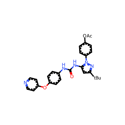 CC(=O)Oc1ccc(-n2nc(C(C)(C)C)cc2NC(=O)Nc2ccc(Oc3ccncc3)cc2)cc1